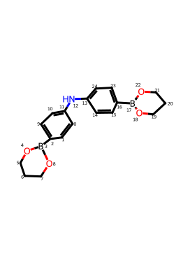 c1cc(B2OCCCO2)ccc1Nc1ccc(B2OCCCO2)cc1